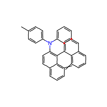 Cc1ccc(N(c2ccccc2)c2ccc3cccc(C)c3c2-c2cccc3cccc(C)c23)cc1